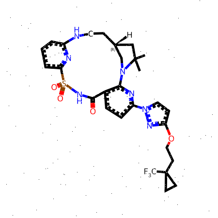 CC1(C)C[C@H]2CCNc3cccc(n3)S(=O)(=O)NC(=O)c3ccc(-n4ccc(OCCC5(C(F)(F)F)CC5)n4)nc3N1C2